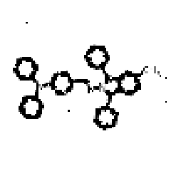 Cc1ccc2c(-c3ccccc3)n(N=Cc3ccc(N(c4ccccc4)c4ccccc4)cc3)c(-c3ccccc3)c2c1